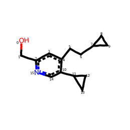 OCc1cc(CCC2CC2)c(C2CC2)cn1